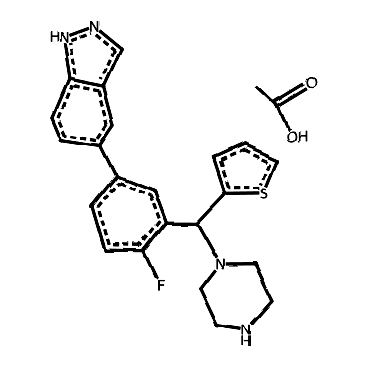 CC(=O)O.Fc1ccc(-c2ccc3[nH]ncc3c2)cc1C(c1cccs1)N1CCNCC1